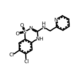 O=S1(=O)N=C(NCc2ccccn2)Nc2cc(Cl)c(Cl)cc21